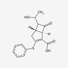 CC(O)C1C(=O)[C@H]2C(C(=O)O)=C(Sc3ccccc3)C[C@H]12